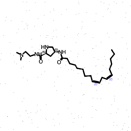 CCCCC/C=C\C/C=C\CCCCCCCC(=O)N[C@@H]1CN[C@H](C(=O)NCCN(C)C)C1